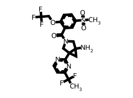 CC(F)(F)c1ccnc(C23CN(C(=O)c4cc(S(C)(=O)=O)ccc4OCC(F)(F)F)CC2(N)C3)n1